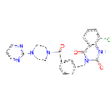 O=C(c1cccc(Cn2c(=O)[nH]c3c(Cl)cccc3c2=O)c1)N1CCN(c2ncccn2)CC1